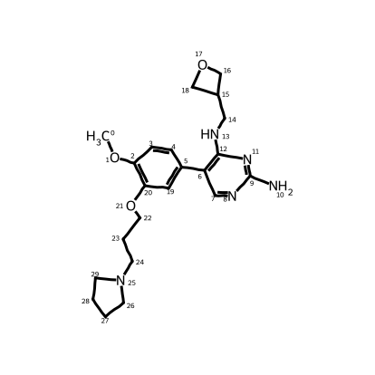 COc1ccc(-c2cnc(N)nc2NCC2COC2)cc1OCCCN1CCCC1